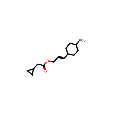 CCCCCCCCC1CCC(C=CCOC(=O)CC2CC2)CC1